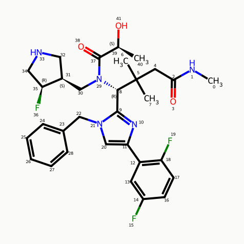 CNC(=O)CC(C)(C)[C@H](c1nc(-c2cc(F)ccc2F)cn1Cc1ccccc1)N(C[C@@H]1CNC[C@@H]1F)C(=O)[C@H](C)O